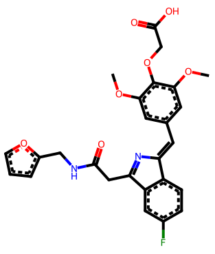 COc1cc(C=C2N=C(CC(=O)NCc3ccco3)c3cc(F)ccc32)cc(OC)c1OCC(=O)O